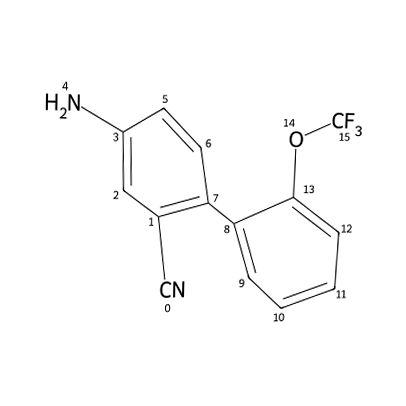 N#Cc1cc(N)ccc1-c1ccccc1OC(F)(F)F